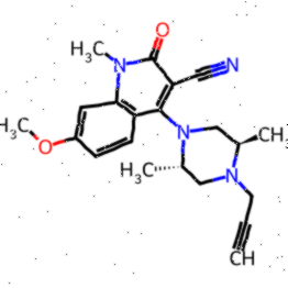 C#CCN1C[C@H](C)N(c2c(C#N)c(=O)n(C)c3cc(OC)ccc23)C[C@H]1C